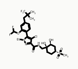 CCn1nc(C(=O)NC[C@@]2(O)CC[C@@H](S(C)(=O)=O)C[C@@H]2O)c(Cl)c1-c1ccc(CC(C)(C)C(F)(F)F)cc1OC(F)F